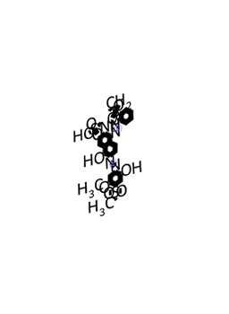 C=CS(=O)(=O)c1ccccc1/N=N/c1c(NCS(=O)(=O)O)ccc2c(O)c(/N=N/c3cc(OC)c(S(=O)(=O)CC)cc3O)ccc12